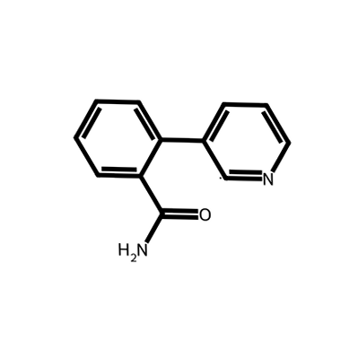 NC(=O)c1ccccc1-c1[c]nccc1